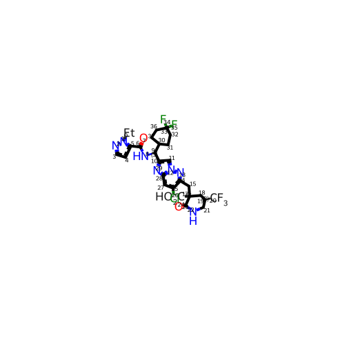 CCn1nccc1C(=O)N[C@H](c1cn2nc(CC3(C(=O)O)C[C@@H](C(F)(F)F)CNC3=O)c(Cl)cc2n1)C1CCC(F)(F)CC1